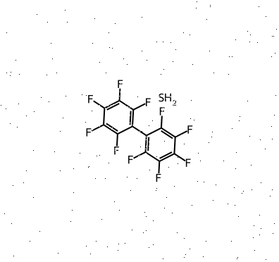 Fc1c(F)c(F)c(-c2c(F)c(F)c(F)c(F)c2F)c(F)c1F.S